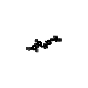 Cc1cc(OC[C@H](O)C(C)(C)O)ccc1-c1nnc(Cc2ccc(Cl)c(Oc3cc(N)cc(Cl)c3)c2F)o1